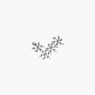 F[P-](F)(F)(F)(F)F.F[P-](F)(F)(F)(F)F.F[P-](F)(F)(F)(F)F.F[P-](F)(F)(F)(F)F.[Cu]